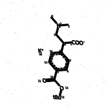 CN(C)CC(C(=O)[O-])c1ccc(C(=O)OC(C)(C)C)cc1.[K+]